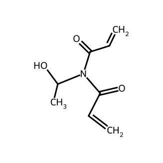 C=CC(=O)N(C(=O)C=C)C(C)O